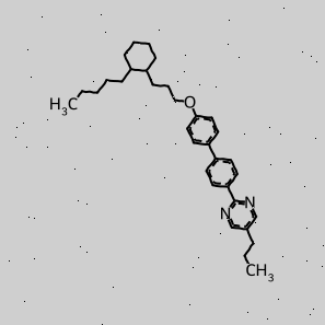 CCCCCC1CCCCC1CCCOc1ccc(-c2ccc(-c3ncc(CCC)cn3)cc2)cc1